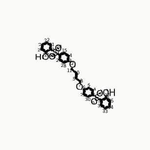 O=S(=O)(c1ccc(OCC=CCOc2ccc(S(=O)(=O)c3ccccc3O)cc2)cc1)c1ccccc1O